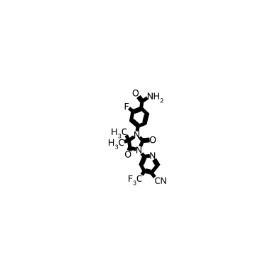 CC1(C)C(=O)N(c2cc(C(F)(F)F)c(C#N)cn2)C(=O)N1c1ccc(C(N)=O)c(F)c1